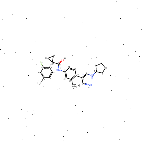 N=C/C(=C\NC1CCCC1)c1ccc(NC(=O)C2(c3ccc(C(F)(F)F)cc3F)CC2)cc1C(=O)O